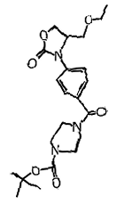 CCOCC1COC(=O)N1c1ccc(C(=O)N2CCN(C(=O)OC(C)(C)C)CC2)cc1